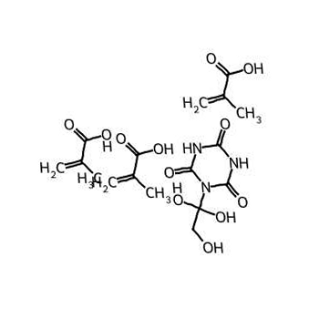 C=C(C)C(=O)O.C=C(C)C(=O)O.C=C(C)C(=O)O.O=c1[nH]c(=O)n(C(O)(O)CO)c(=O)[nH]1